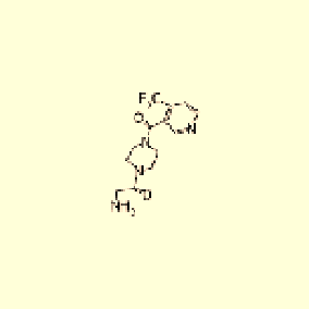 NCC(=O)N1CCN(C(=O)c2cnccc2C(F)(F)F)CC1